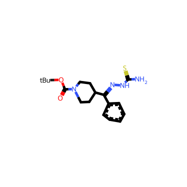 CC(C)(C)OC(=O)N1CCC(/C(=N/NC(N)=S)c2ccccc2)CC1